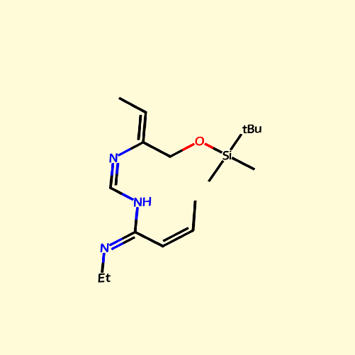 C/C=C\C(=N/CC)N/C=N\C(=C/C)CO[Si](C)(C)C(C)(C)C